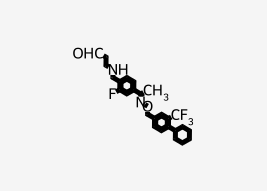 C/C(=N\OCc1ccc(C2CCCCC2)c(C(F)(F)F)c1)c1ccc(CNCCC=O)c(F)c1